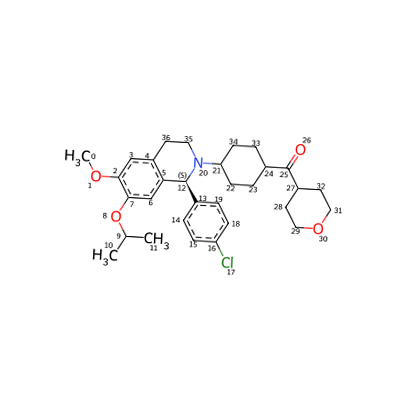 COc1cc2c(cc1OC(C)C)[C@H](c1ccc(Cl)cc1)N(C1CCC(C(=O)C3CCOCC3)CC1)CC2